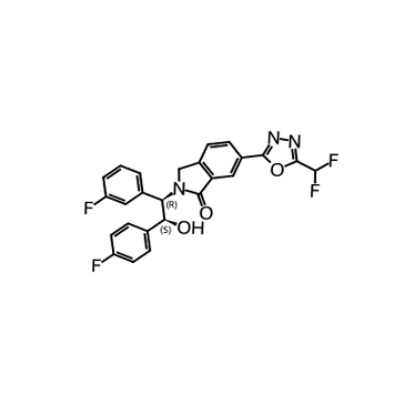 O=C1c2cc(-c3nnc(C(F)F)o3)ccc2CN1[C@H](c1cccc(F)c1)[C@@H](O)c1ccc(F)cc1